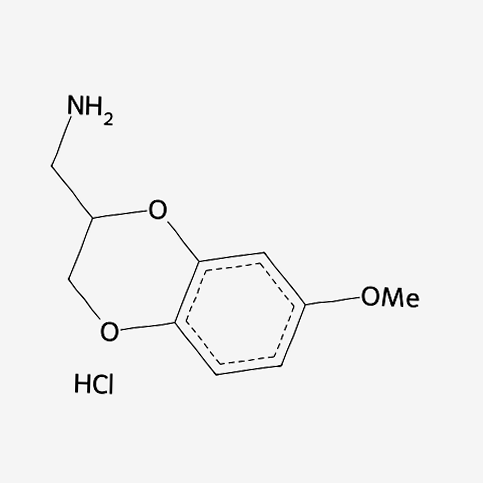 COc1ccc2c(c1)OC(CN)CO2.Cl